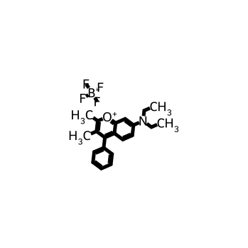 CCN(CC)c1ccc2c(-c3ccccc3)c(C)c(C)[o+]c2c1.F[B-](F)(F)F